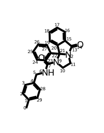 Cc1ccc(CNC(=O)N2CCN3C(=O)c4ccccc4C23c2ccccc2)cc1